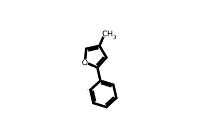 Cc1coc(-c2[c]cccc2)c1